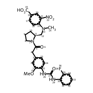 COc1cc(CC(=O)N2CCC[C@H]2CN(C)c2ccc(C(=O)O)cc2[N+](=O)[O-])ccc1NC(=O)Nc1ccccc1F